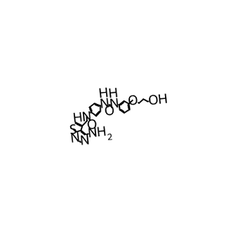 Nc1ncnc2scc(C(=O)Nc3ccc(NC(=O)Nc4cccc(OCCCO)c4)cc3)c12